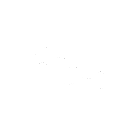 O=C(N/N=C(\C=N\O)c1ccccn1)c1cccc(Br)c1